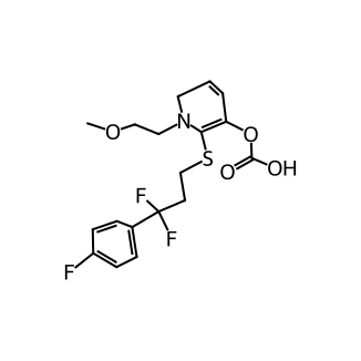 COCCN1CC=CC(OC(=O)O)=C1SCCC(F)(F)c1ccc(F)cc1